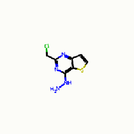 NNc1nc(CCl)nc2ccsc12